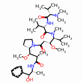 CO[C@H]([C@@H](C)C(=O)N[C@H](C)[C@@H](O)c1ccccc1)[C@@H]1CCCN1C(=O)C[C@@H](OC)[C@H](C(C)C)N(C)C(=O)[C@@H](NC(=O)[C@H](C(C)C)N(C)C)C(C)C